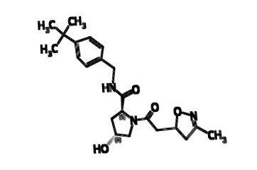 CC1=NOC(CC(=O)N2C[C@H](O)C[C@H]2C(=O)NCc2ccc(C(C)(C)C)cc2)C1